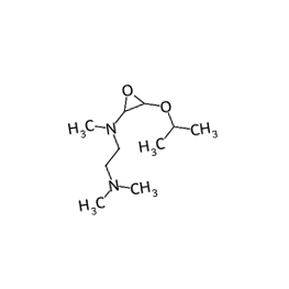 CC(C)OC1OC1N(C)CCN(C)C